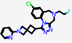 FCCN1Cc2cc(Cl)ccc2-n2c(nnc2C2CC3(C2)CN(c2ccccn2)C3)C1